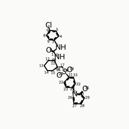 O=C(Nc1ccc(Cl)cc1)N[C@@H]1CCCC[C@@H]1CS(=O)(=O)c1ccc(-n2ccccc2=O)cc1